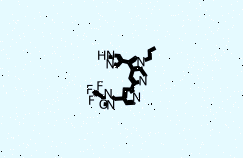 CCCn1cc(-c2cn[nH]c2)c2cc(-c3cc(-c4noc(C(F)(F)F)n4)ccn3)ncc21